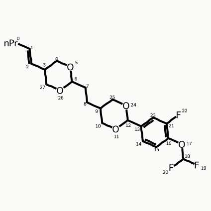 CCCC=CC1COC(CCC2COC(c3ccc(OC(F)F)c(F)c3)OC2)OC1